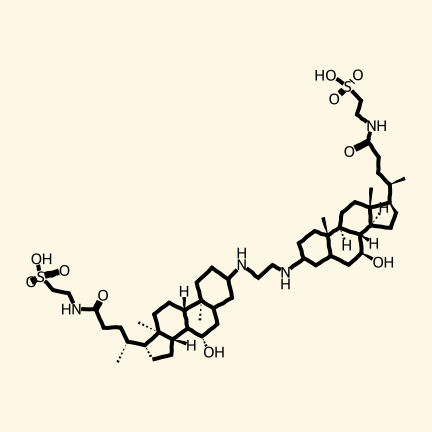 C[C@H](CCC(=O)NCCS(=O)(=O)O)[C@H]1CC[C@H]2C3[C@@H](O)CC4CC(NCCNC5CC[C@@]6(C)C(C5)C[C@H](O)[C@H]5[C@@H]7CC[C@H]([C@H](C)CCC(=O)NCCS(=O)(=O)O)[C@@]7(C)CC[C@@H]56)CC[C@]4(C)[C@H]3CC[C@]12C